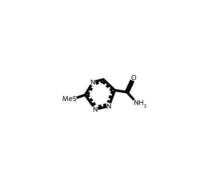 CSc1ncc(C(N)=O)nn1